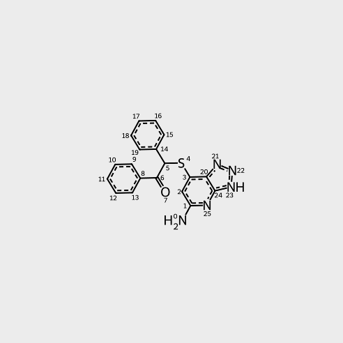 Nc1cc(SC(C(=O)c2ccccc2)c2ccccc2)c2nn[nH]c2n1